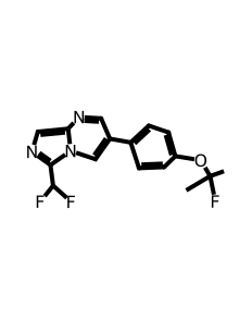 CC(C)(F)Oc1ccc(-c2cnc3cnc(C(F)F)n3c2)cc1